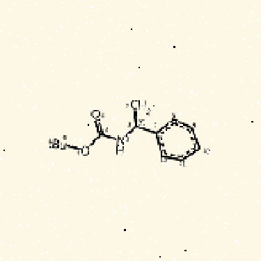 [CH2][C@H](NC(=O)OC(C)(C)C)c1ccccc1